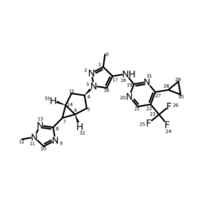 Cc1nn([C@H]2C[C@@H]3C(c4ncn(C)n4)[C@@H]3C2)cc1Nc1ncc(C(F)(F)F)c(C2CC2)n1